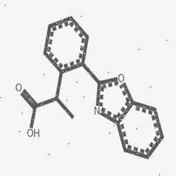 CC(C(=O)O)c1ccccc1-c1nc2ccccc2o1